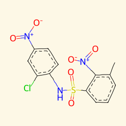 Cc1cccc(S(=O)(=O)Nc2ccc([N+](=O)[O-])cc2Cl)c1[N+](=O)[O-]